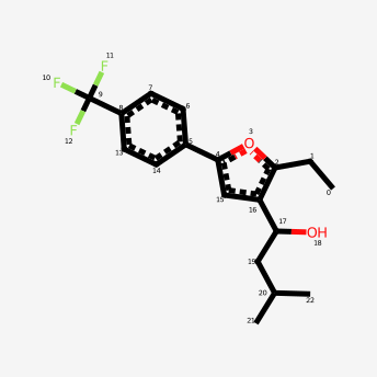 CCc1oc(-c2ccc(C(F)(F)F)cc2)cc1C(O)CC(C)C